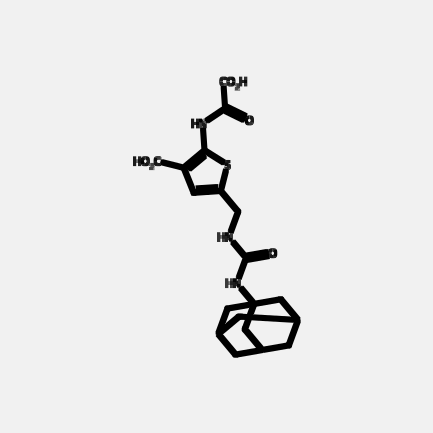 O=C(NCc1cc(C(=O)O)c(NC(=O)C(=O)O)s1)NC12CC3CC(CC(C3)C1)C2